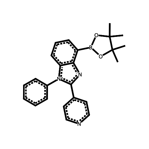 CC1(C)OB(c2cccc3c2nc(-c2ccncc2)n3-c2ccccc2)OC1(C)C